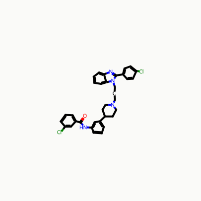 O=C(Nc1cccc(C2CCN(CCCn3c(-c4ccc(Cl)cc4)nc4ccccc43)CC2)c1)c1cccc(Cl)c1